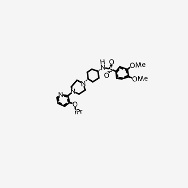 COc1ccc(S(=O)(=O)N[C@H]2CC[C@@H](N3CCN(c4ncccc4OC(C)C)CC3)CC2)cc1OC